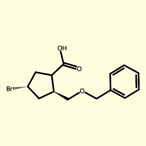 O=C(O)C1C[C@@H](Br)C[C@@H]1COCc1ccccc1